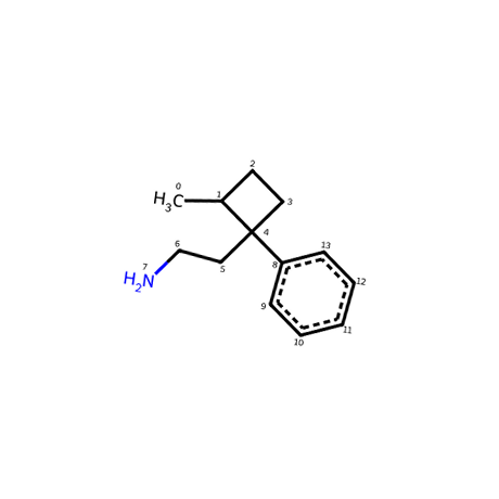 CC1CCC1(CCN)c1ccccc1